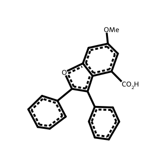 COc1cc(C(=O)O)c2c(-c3ccccc3)c(-c3ccccc3)oc2c1